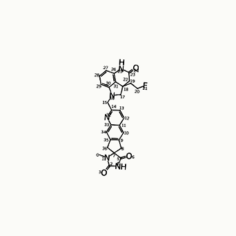 CN1C(=O)NC(=O)C12Cc1cc3ccc(CN4CC5(CCF)CC(=O)Nc6cccc4c65)nc3cc1C2